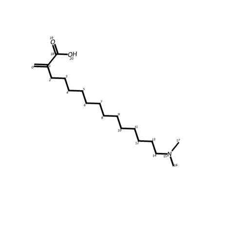 C=C(CCCCCCCCCCCCCN(C)C)C(=O)O